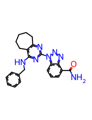 NC(=O)c1cccc2c1nnn2-c1nc2c(c(NCc3ccccc3)n1)CCCCC2